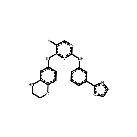 Fc1cnc(Nc2cccc(-c3ncco3)c2)nc1Nc1ccc2c(c1)NCCO2